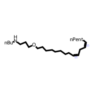 CCCCC/C=C\C/C=C\CCCCCCCCOCCCNCCCC